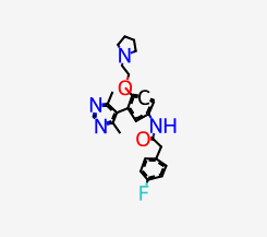 Cc1ncnc(C)c1-c1cc(NC(=O)Cc2ccc(F)cc2)ccc1OCCN1CCCC1